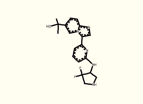 CC(C)(O)c1ccc2ncc(-c3cccc(NC4CNCC4(F)F)n3)n2c1